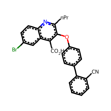 CCCc1nc2ccc(Br)cc2c(C(=O)O)c1Oc1ccc(-c2ccccc2C#N)cc1